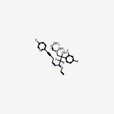 C=C/N=C(\C=C/CC#Cc1ccc(F)cn1)C(F)(F)C(O)(CN(N)/C=N\N)c1ccc(F)cc1F